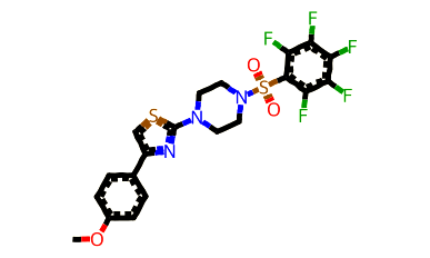 COc1ccc(-c2csc(N3CCN(S(=O)(=O)c4c(F)c(F)c(F)c(F)c4F)CC3)n2)cc1